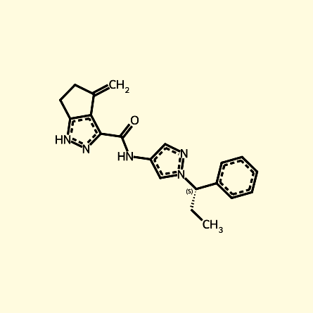 C=C1CCc2[nH]nc(C(=O)Nc3cnn([C@@H](CC)c4ccccc4)c3)c21